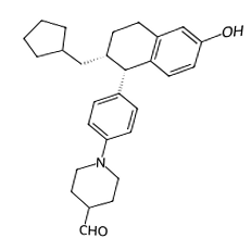 O=CC1CCN(c2ccc([C@H]3c4ccc(O)cc4CC[C@H]3CC3CCCC3)cc2)CC1